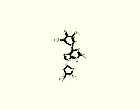 CC[C@H]1O[C@@H](n2cnc3c(-n4cc(C)c(=O)c(C)c4)nc(Cl)nc32)CC1C